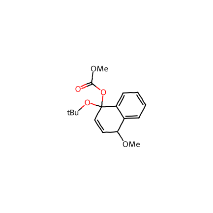 COC(=O)OC1(OC(C)(C)C)C=CC(OC)c2ccccc21